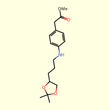 COC(=O)Cc1ccc(NCCCC2COC(C)(C)O2)cc1